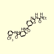 CCNC(=O)Nc1nc2ccc(C(=O)Nc3cc(C(=O)Nc4cccc(C(F)(F)F)c4)ccc3C)cc2s1